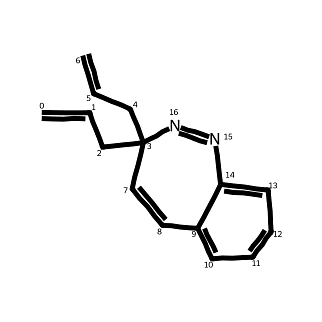 C=CCC1(CC=C)C=Cc2ccccc2N=N1